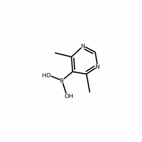 Cc1ncnc(C)c1B(O)O